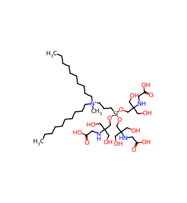 CCCCCCCCCC[N+](C)(CCCCCCCCCC)CCC[Si](OCC(CO)(CO)NCC(=O)O)(OCC(CO)(CO)NCC(=O)O)OCC(CO)(CO)NCC(=O)O